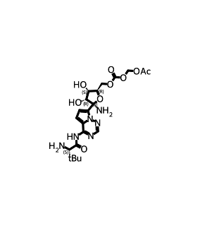 CC(=O)OCOC(=O)OC[C@H]1O[C@@](N)(c2ccc3c(NC(=O)[C@@H](N)C(C)(C)C)ncnn23)[C@H](O)[C@@H]1O